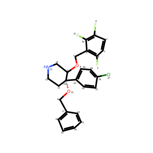 Fc1ccc(F)c(COC2CNCC[C@]2(OCc2ccccc2)c2ccc(Cl)cc2)c1F